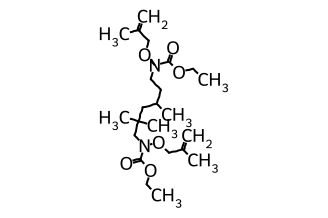 C=C(C)CON(CCC(C)CC(C)(C)CN(OCC(=C)C)C(=O)OCC)C(=O)OCC